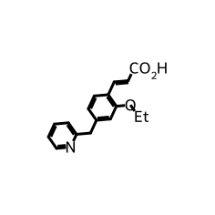 CCOc1cc(Cc2ccccn2)ccc1/C=C/C(=O)O